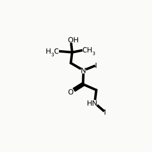 CC(C)(O)CN(I)C(=O)CNI